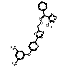 Cn1nnnc1/C(=N\OCc1nnc(-c2ccc(Oc3cc(C(F)(F)F)cc(C(F)(F)F)c3)cn2)o1)c1ccccc1